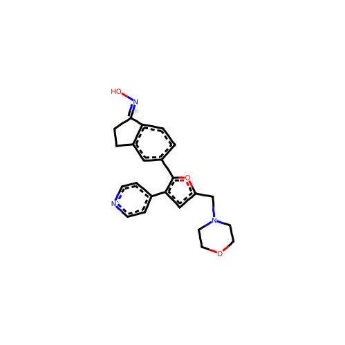 O/N=C1\CCc2cc(-c3oc(CN4CCOCC4)cc3-c3ccncc3)ccc21